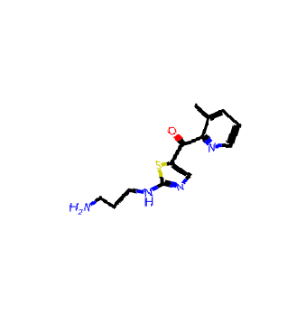 Cc1cccnc1C(=O)c1cnc(NCCCN)s1